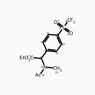 CCOC(=O)C(c1ccc(S(=O)(=O)C(F)(F)F)cc1)N(C)C(C)=O